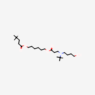 CCC(C)(C)CCC(=O)OCCCCCCOC(=O)CCN(CCCCO)C(C)(C)CC